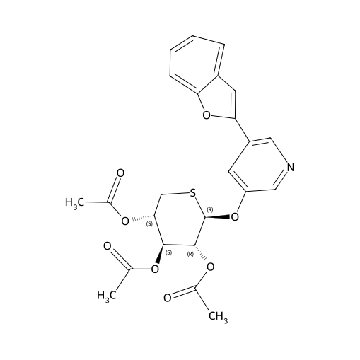 CC(=O)O[C@@H]1[C@@H](OC(C)=O)[C@H](OC(C)=O)CS[C@H]1Oc1cncc(-c2cc3ccccc3o2)c1